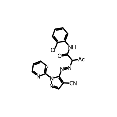 CC(=O)C(N=Nc1c(C#N)cnn1-c1ncccn1)C(=O)Nc1ccccc1Cl